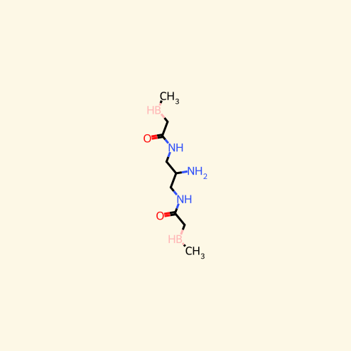 CBCC(=O)NCC(N)CNC(=O)CBC